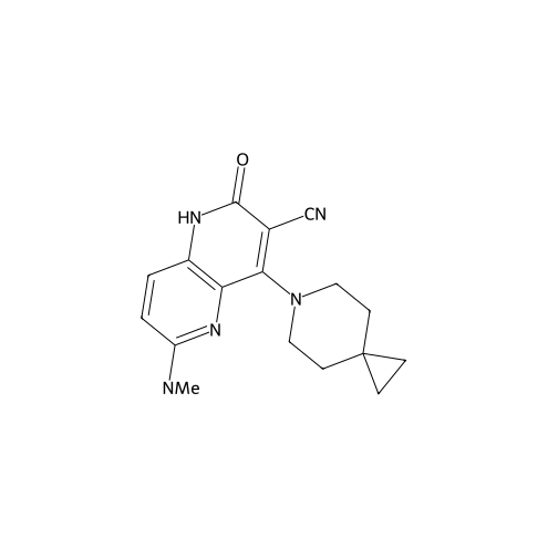 CNc1ccc2[nH]c(=O)c(C#N)c(N3CCC4(CC3)CC4)c2n1